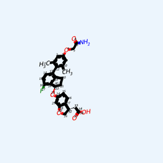 Cc1cc(OCC(N)=O)cc(C)c1-c1ccc(F)c2c1CC[C@H]2Oc1ccc2c(c1)OC[C@H]2CC(=O)O